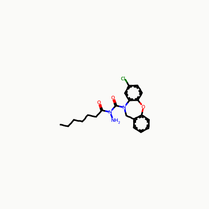 CCCCCCC(=O)N(N)C(=O)N1Cc2ccccc2Oc2ccc(Cl)cc21